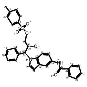 Cc1ccc(S(=O)(=O)OC[C@H](O)[C@H](c2ccccc2)n2ccc3cc(NC(=O)c4ccccc4)ccc32)cc1